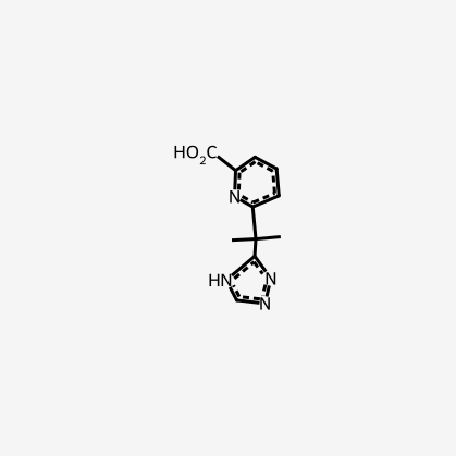 CC(C)(c1cccc(C(=O)O)n1)c1nnc[nH]1